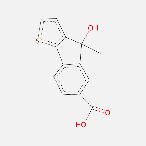 CC1(O)c2cc(C(=O)O)ccc2-c2sccc21